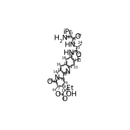 CC[C@@]1(O)C(=O)OCc2c1cc1n(c2=O)Cc2cc3cc(NC(=O)[C@H](C)NC(=O)[C@@H](N)C(C)C)c(F)cc3nc2-1